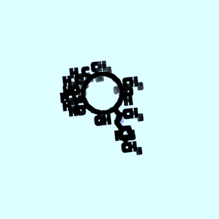 C/C(=C\c1csc(C)n1)C1C[C@H](O)CC(O)C(C)(C)[C@H](O)[C@H](C)[C@@H](C)[C@@H](C)CCC[C@@]2(C)O[C@H]2C1